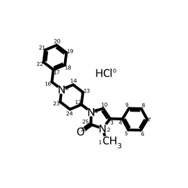 Cl.Cn1c(-c2ccccc2)cn(C2CCN(Cc3ccccc3)CC2)c1=O